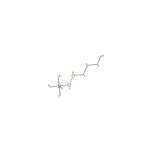 CCCCOO[Si](C)(C)C